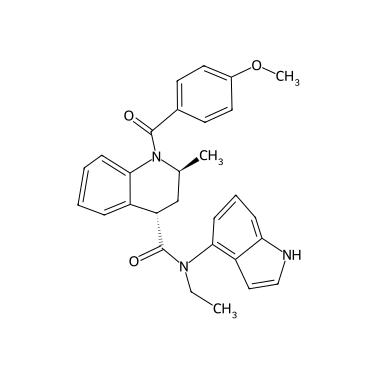 CCN(C(=O)[C@H]1C[C@H](C)N(C(=O)c2ccc(OC)cc2)c2ccccc21)c1cccc2[nH]ccc12